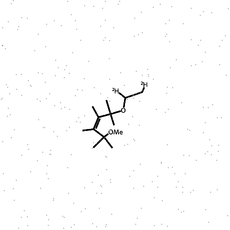 [2H]CC([2H])OC(C)(C)/C(C)=C(/C)C(C)(C)OC